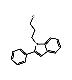 ClCCCn1c(-c2ccccc2)cc2ccccc21